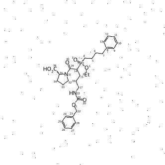 CCOP(=O)(CCCCc1ccccc1)C(CCCNC(=O)OCc1ccccc1)C(=O)N1CCC[C@H]1C(=O)O